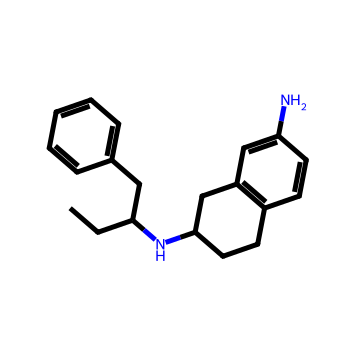 CCC(Cc1ccccc1)NC1CCc2ccc(N)cc2C1